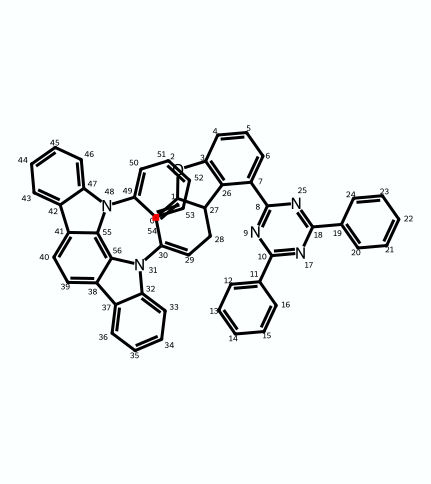 C1=C2Oc3cccc(-c4nc(-c5ccccc5)nc(-c5ccccc5)n4)c3C2CC=C1n1c2ccccc2c2ccc3c4ccccc4n(-c4ccccc4)c3c21